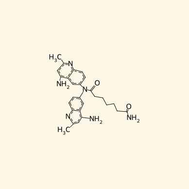 Cc1cc(N)c2cc(N(C(=O)CCCCCC(N)=O)c3ccc4nc(C)cc(N)c4c3)ccc2n1